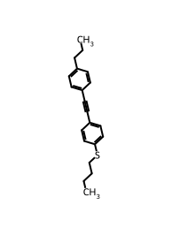 CCCCSc1ccc(C#Cc2ccc(CCC)cc2)cc1